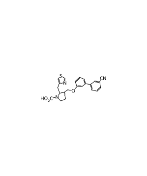 N#Cc1cccc(-c2cccc(OCC3CCN(C(=O)O)C3Cc3cscn3)c2)c1